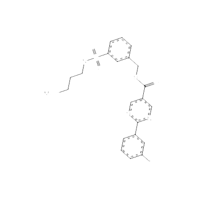 COCCCNS(=O)(=O)c1cccc(CNC(=O)c2cnc(-c3cccc(F)c3)nc2)c1